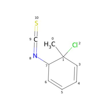 CC1(Cl)C=CC=CC1N=C=S